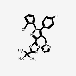 CC(C)(C)c1nnc(-c2nn(-c3ccccc3Cl)c(-c3ccc(Cl)cc3)c2Cn2cncn2)o1